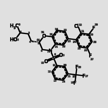 CC(O)CC[C@H]1CN(S(=O)(=O)c2cccc(C(F)(F)F)c2)c2cc(-c3cc(F)cc(F)c3Cl)ccc2O1